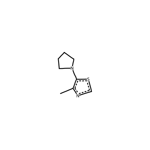 Cc1ncsc1N1CCCC1